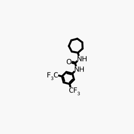 O=C(Nc1cc(C(F)(F)F)cc(C(F)(F)F)c1)NC1CCCCCC1